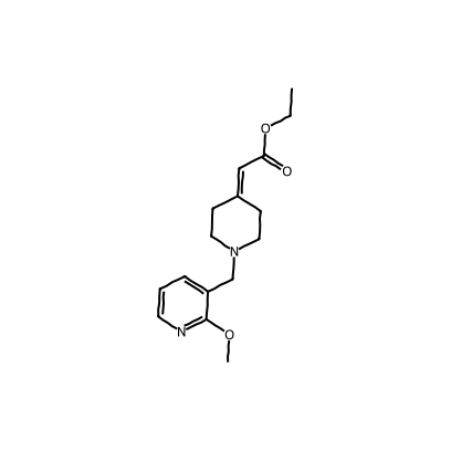 CCOC(=O)C=C1CCN(Cc2cccnc2OC)CC1